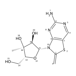 C=C1Sc2cnc(N)nc2N1[C@@H]1O[C@H](CO)[C@@](C)(O)[C@H]1O